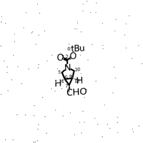 CC(C)(C)OC(=O)N1C[C@@H]2[C@H](C=O)[C@@H]2C1